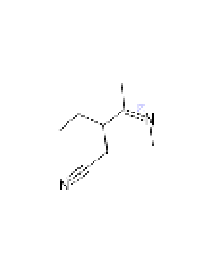 CCC(CC#N)/C(C)=N\C